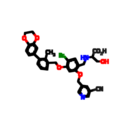 Cc1c(COc2cc(OCc3cncc(C#N)c3)c(CNC(CO)C(=O)O)cc2Br)cccc1-c1ccc2c(c1)OCCO2